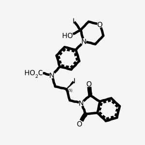 O=C1c2ccccc2C(=O)N1C[C@H](I)CN(C(=O)O)c1ccc(N2CCOCC2(O)I)cc1